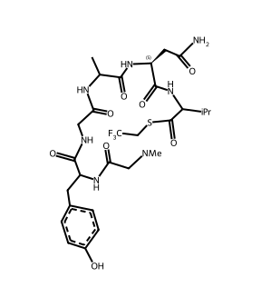 CNCC(=O)NC(Cc1ccc(O)cc1)C(=O)NCC(=O)NC(C)C(=O)N[C@@H](CC(N)=O)C(=O)NC(C(=O)SCC(F)(F)F)C(C)C